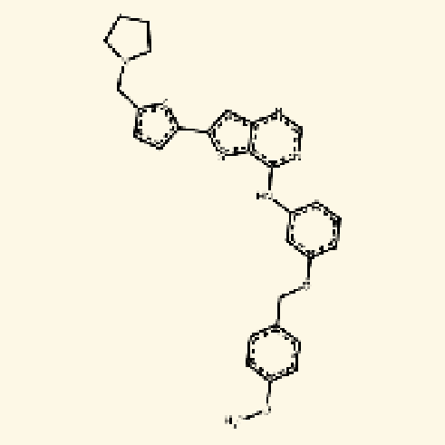 COc1ccc(COc2cccc(Nc3ncnc4cc(-c5ccc(CN6CCCC6)s5)sc34)c2)cc1